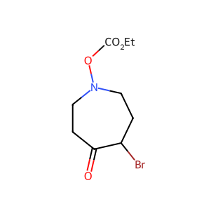 CCOC(=O)ON1CCC(=O)C(Br)CC1